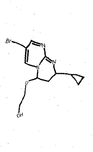 OCCOC1CC(C2CC2)N=C2N=CC(Br)=CN21